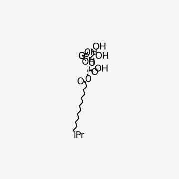 CC(C)CCCCCCCCCCCCC(=O)OC[C@H](COC(C(O)CO)P(=O)(O)O)OO